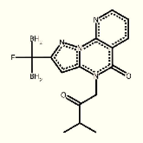 BC(B)(F)c1cc2n(CC(=O)C(C)C)c(=O)c3cccnc3n2n1